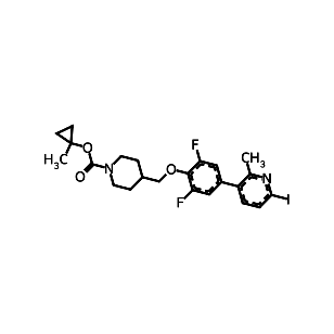 Cc1nc(I)ccc1-c1cc(F)c(OCC2CCN(C(=O)OC3(C)CC3)CC2)c(F)c1